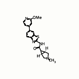 COc1cc(-c2ccc3nc(NC(=O)C4[C@H]5CN(C)C[C@@H]45)sc3c2)ccn1